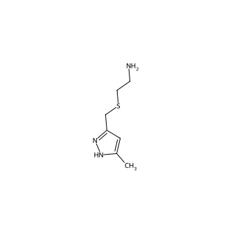 Cc1cc(CSCCN)n[nH]1